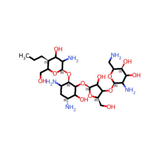 CCC[C@@H]1C(CO)O[C@H](O[C@@H]2C(N)C[C@@H](N)C(O)C2O[C@@H]2O[C@H](CO)C(O[C@H]3OC(CN)[C@@H](O)C(O)C3N)C2O)C(N)C1O